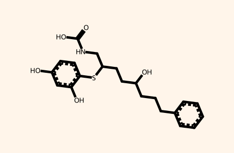 O=C(O)NCC(CCC(O)CCCc1ccccc1)Sc1ccc(O)cc1O